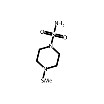 CSN1CCN(S(N)(=O)=O)CC1